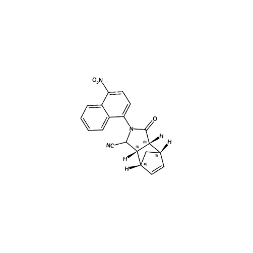 N#CC1[C@@H]2[C@H](C(=O)N1c1ccc([N+](=O)[O-])c3ccccc13)[C@@H]1C=C[C@H]2C1